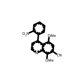 COc1c(C#N)cc(OC)c2c(-c3ccccc3[N+](=O)[O-])ccnc12